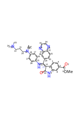 COC(=O)c1ccc2c(c1)NC(=O)/C2=C(\Nc1ccc(N(CCCN(C)C)C(C)=O)cc1)c1ccc2nccnc2c1